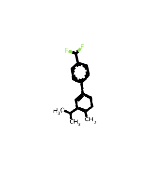 CC1=C(C(C)C)C=C(c2ccc(C(F)F)cc2)CC1